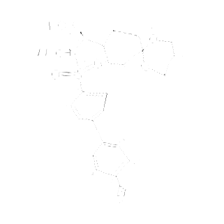 CN([C@@H](C(=O)O)C1CCC2(CC1)OCCCO2)S(=O)(=O)c1ccc(-c2ccc(Br)cc2)cc1